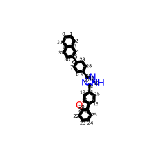 c1ccc2cc(-c3ccc(-c4n[nH]c(-c5ccc6c(c5)oc5ccccc56)n4)cc3)ccc2c1